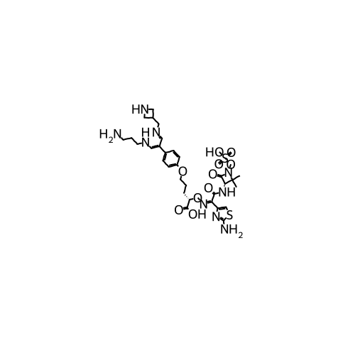 CC1(C)[C@H](NC(=O)/C(=N\O[C@@H](CCCOc2ccc(C(=C/NCCCN)/C=N/CC3CNC3)cc2)C(=O)O)c2csc(N)n2)C(=O)N1OS(=O)(=O)O